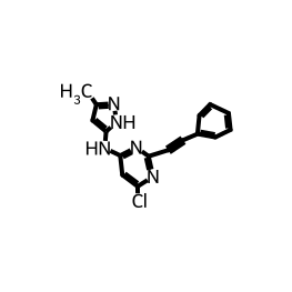 Cc1cc(Nc2cc(Cl)nc(C#Cc3ccccc3)n2)[nH]n1